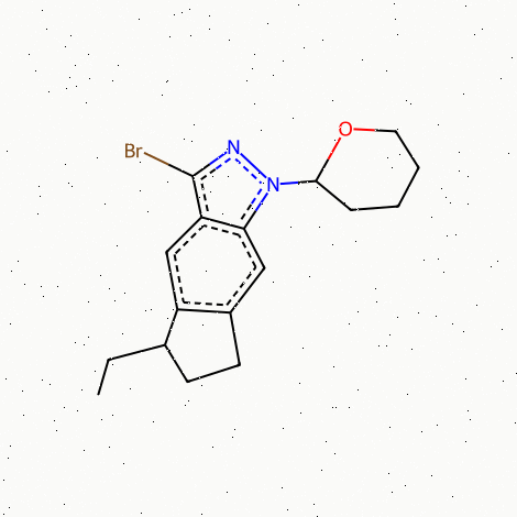 CCC1CCc2cc3c(cc21)c(Br)nn3C1CCCCO1